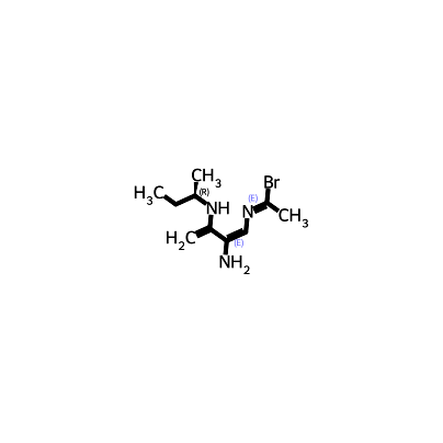 C=C(N[C@H](C)CC)/C(N)=C\N=C(/C)Br